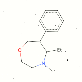 CCC1C(c2ccccc2)COCCN1C